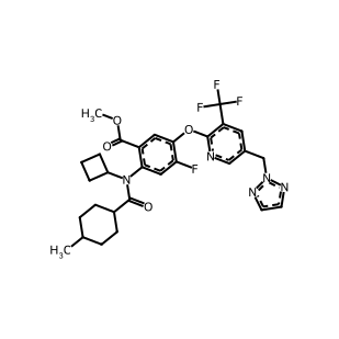 COC(=O)c1cc(Oc2ncc(Cn3nccn3)cc2C(F)(F)F)c(F)cc1N(C(=O)C1CCC(C)CC1)C1CCC1